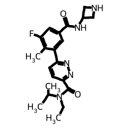 CCN(C(=O)c1ccc(-c2cc(C(=O)NC3CNC3)cc(F)c2C)nn1)C(C)C